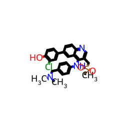 CN(C)Cc1ccc(Nc2c(CS(C)(=O)=O)cnc3ccc(-c4ccc(O)c(Cl)c4)cc23)cc1